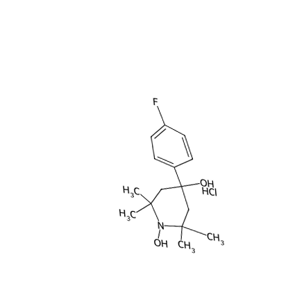 CC1(C)CC(O)(c2ccc(F)cc2)CC(C)(C)N1O.Cl